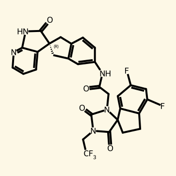 O=C(CN1C(=O)N(CC(F)(F)F)C(=O)C12CCc1c(F)cc(F)cc12)Nc1ccc2c(c1)C[C@@]1(C2)C(=O)Nc2ncccc21